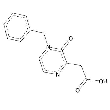 O=C(O)Cc1nccn(Cc2ccccc2)c1=O